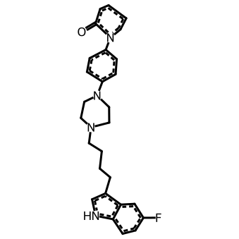 O=c1ccccn1-c1ccc(N2CCN(CCCCc3c[nH]c4ccc(F)cc34)CC2)cc1